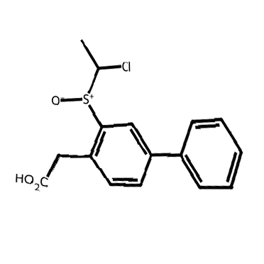 CC(Cl)[S+]([O-])c1cc(-c2ccccc2)ccc1CC(=O)O